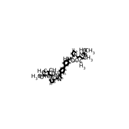 COC(=O)N[C@H](C(=O)N1CCC[C@H]1C(=O)Nc1ccc(-c2ccc(-c3cnc([C@@H]4CCCN4C(=O)[C@@H](NC(=O)OC)C(C)C)[nH]3)cc2)cc1)C(C)C